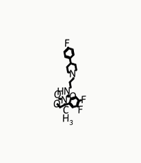 C[C@]1(c2ccc(F)c(F)c2)COC(=O)N1C(=O)NCCCN1CCC(c2ccc(F)cc2)CC1